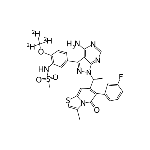 [2H]C([2H])([2H])Oc1ccc(-c2nn([C@@H](C)c3cc4scc(C)n4c(=O)c3-c3cccc(F)c3)c3ncnc(N)c23)cc1NS(C)(=O)=O